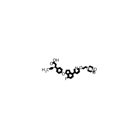 CC#C[C@@H](CC(=O)O)c1ccc(O[C@@H]2CCc3c(-c4ccc(OCCN5CCS(=O)(=O)CC5)nc4)ccc(F)c32)cc1